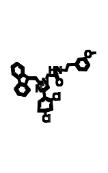 COc1cccc(CCNC(=O)Cn2cc(-c3ccc(Cl)cc3Cl)nc2C=C2c3ccccc3-c3ccccc32)c1